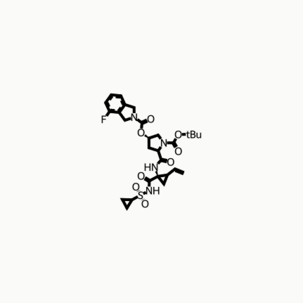 C=CC1C[C@]1(NC(=O)C1C[C@@H](OC(=O)N2Cc3cccc(F)c3C2)CN1C(=O)OC(C)(C)C)C(=O)NS(=O)(=O)C1CC1